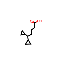 O=C(O)CCCC(C1CC1)C1CC1